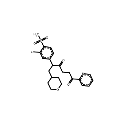 CS(=O)(=O)c1ccc(C(CC2CCOCC2)C(=O)CCC(=O)c2ccccn2)cc1Cl